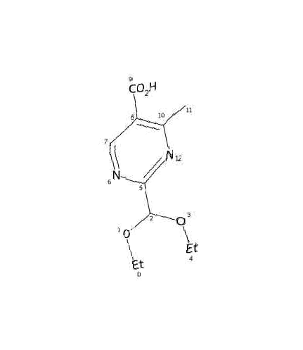 CCOC(OCC)c1ncc(C(=O)O)c(C)n1